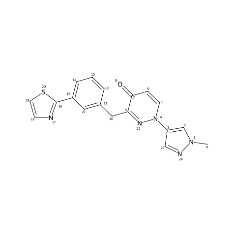 Cn1cc(-n2ccc(=O)c(Cc3cccc(-c4nccs4)c3)n2)cn1